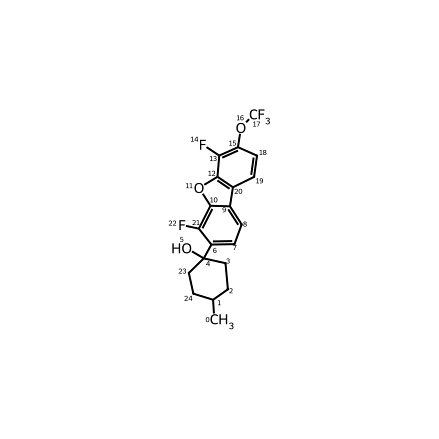 CC1CCC(O)(c2ccc3c(oc4c(F)c(OC(F)(F)F)ccc43)c2F)CC1